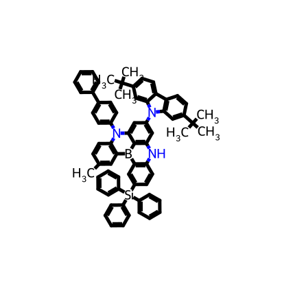 Cc1ccc2c(c1)B1c3cc([Si](c4ccccc4)(c4ccccc4)c4ccccc4)ccc3Nc3cc(-n4c5cc(C(C)(C)C)ccc5c5ccc(C(C)(C)C)cc54)cc(c31)N2c1ccc(-c2ccccc2)cc1